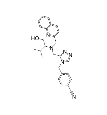 CC(C)C(CO)N(Cc1ccc2ccccc2n1)Cc1nncn1Cc1ccc(C#N)cc1